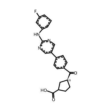 O=C(O)C1CC[C@H](C(=O)c2ccc(-c3cnc(Nc4cccc(F)c4)nc3)cc2)C1